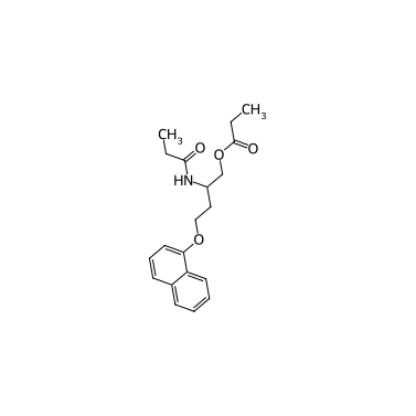 CCC(=O)NC(CCOc1cccc2ccccc12)COC(=O)CC